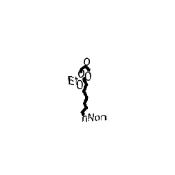 CCCCCCCCCCCCCCCC1(OCC)OCC(=O)CO1